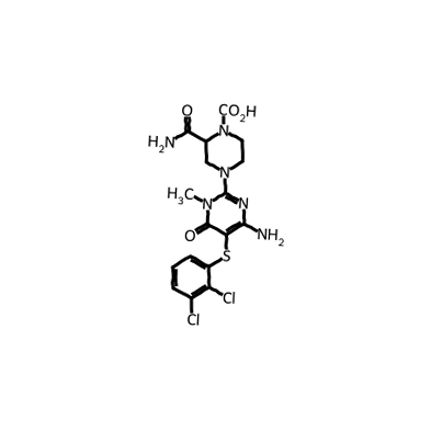 Cn1c(N2CCN(C(=O)O)C(C(N)=O)C2)nc(N)c(Sc2cccc(Cl)c2Cl)c1=O